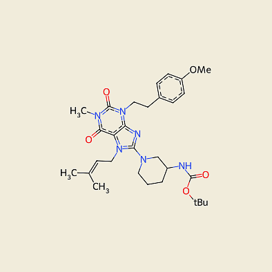 COc1ccc(CCn2c(=O)n(C)c(=O)c3c2nc(N2CCCC(NC(=O)OC(C)(C)C)C2)n3CC=C(C)C)cc1